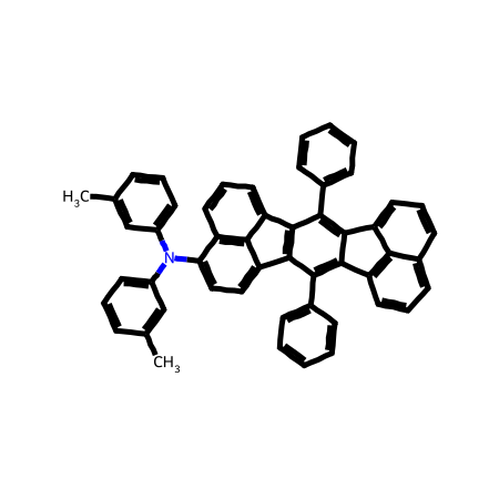 Cc1cccc(N(c2cccc(C)c2)c2ccc3c4c(-c5ccccc5)c5c6cccc7cccc(c5c(-c5ccccc5)c4c4cccc2c43)c76)c1